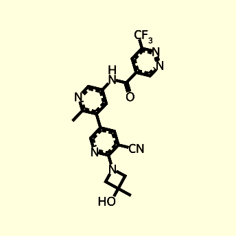 Cc1ncc(NC(=O)c2cnnc(C(F)(F)F)c2)cc1-c1cnc(N2CC(C)(O)C2)c(C#N)c1